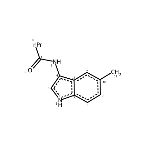 CCCC(=O)Nc1c[nH]c2ccc(C)cc12